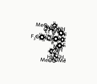 CC[C@H](NC(=O)OC)C(=O)N1CCC[C@H]1c1nc2cc([C@H]3CC[C@H](c4cc5nc([C@@H]6CCCN6C(=O)[C@@H](NC(=O)OC)[C@@H](C)OC)[nH]c5cc4F)N3c3cc(F)c(N4CCN(c5ccc(C(F)(F)F)cc5)CC4)c(F)c3)c(F)cc2[nH]1